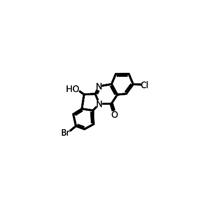 O=c1c2cc(Cl)ccc2nc2n1-c1ccc(Br)cc1C2O